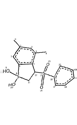 Cc1cc(C)c2c(c1)S(O)(O)CC2S(=O)(=O)c1ccccc1